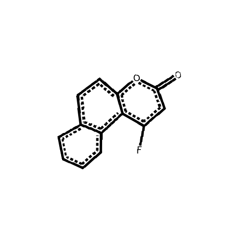 O=c1cc(F)c2c(ccc3ccccc32)o1